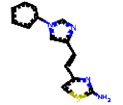 Nc1nc(C=Cc2cn(-c3ccccc3)cn2)cs1